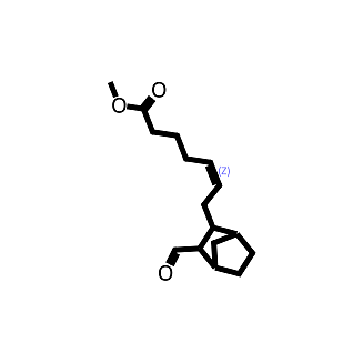 COC(=O)CCC/C=C\CC1C2CCC(C2)C1C=O